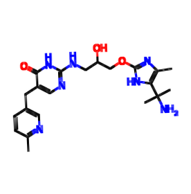 Cc1ccc(Cc2cnc(NCC(O)COc3nc(C)c(C(C)(C)N)[nH]3)[nH]c2=O)cn1